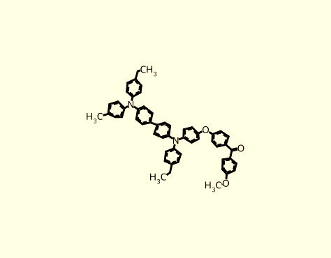 CCc1ccc(N(c2ccc(C)cc2)c2ccc(-c3ccc(N(c4ccc(CC)cc4)c4ccc(Oc5ccc(C(=O)c6ccc(OC)cc6)cc5)cc4)cc3)cc2)cc1